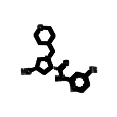 CCc1ccnc(NC(=O)[C@@H]2C[C@@H](O)CN2CC2CCOCC2)c1